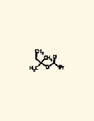 C=CC(C)(C)OC(=O)C(C)C